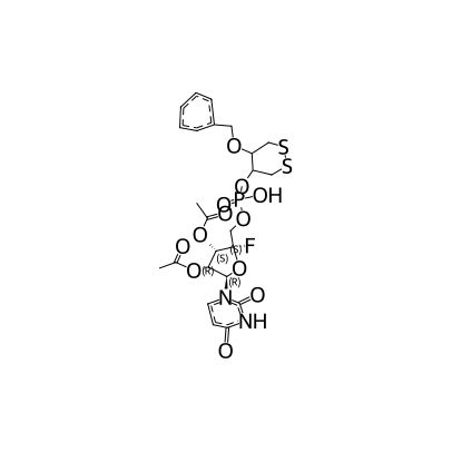 CC(=O)O[C@H]1[C@H](n2ccc(=O)[nH]c2=O)O[C@](F)(COP(=O)(O)OC2CSSCC2OCc2ccccc2)[C@H]1OC(C)=O